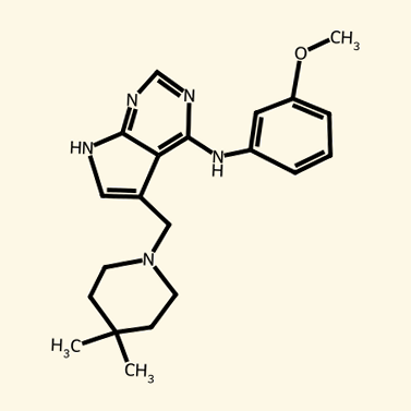 COc1cccc(Nc2ncnc3[nH]cc(CN4CCC(C)(C)CC4)c23)c1